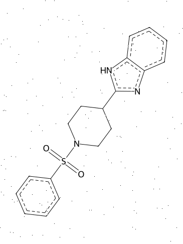 O=S(=O)(c1ccccc1)N1CCC(c2nc3ccccc3[nH]2)CC1